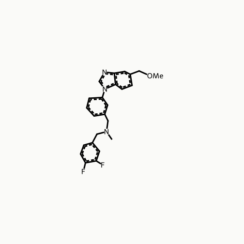 COCc1ccc2c(c1)ncn2-c1cccc(CN(C)Cc2ccc(F)c(F)c2)c1